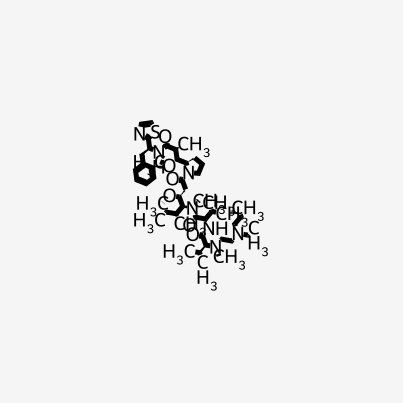 CCCN(CC)CCN(C)[C@H](C(=O)N[C@H](C(=O)N(C)[C@@H]([C@@H](C)CC)[C@@H](CC(=O)N1CCC[C@H]1[C@H](OC)[C@@H](C)C(=O)N[C@@H](Cc1ccccc1)c1nccs1)OC)C(C)C)C(C)C